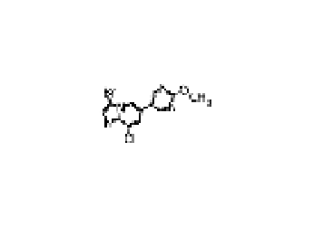 COc1ncc(-c2cc(Cl)c3ncc(Br)n3c2)cn1